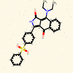 CCN(CC)C1=C2C(=O)NC(c3ccc(S(=O)(=O)c4ccccc4)cc3)=C2C(=O)c2ccccc21